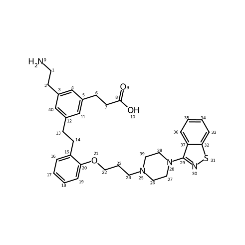 NCCc1cc(CCC(=O)O)cc(CCc2ccccc2OCCCN2CCN(c3nsc4ccccc34)CC2)c1